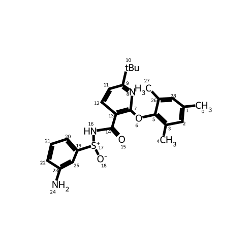 Cc1cc(C)c(Oc2nc(C(C)(C)C)ccc2C(=O)N[S+]([O-])c2cccc(N)c2)c(C)c1